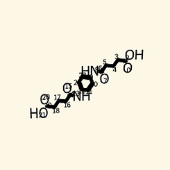 O=C(O)CCCC(=O)Nc1ccc(NC(=O)CCCC(=O)O)cc1